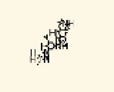 CC1(C)CC(Nc2nc(Nc3cc(C4CC4)c(F)c(N(N)/C=N\N)c3)ncc2F)CC(C)(C)N1